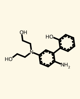 Nc1ccc(N(CCO)CCO)cc1-c1ccccc1O